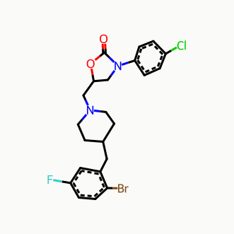 O=C1OC(CN2CCC(Cc3cc(F)ccc3Br)CC2)CN1c1ccc(Cl)cc1